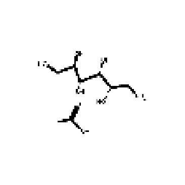 CC(=O)O.NC[C@H](O)[C@@H](O)[C@H](O)[C@H](O)CO